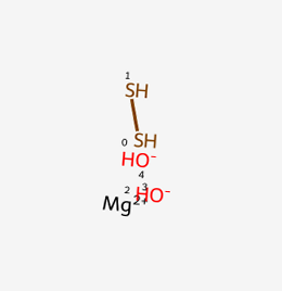 SS.[Mg+2].[OH-].[OH-]